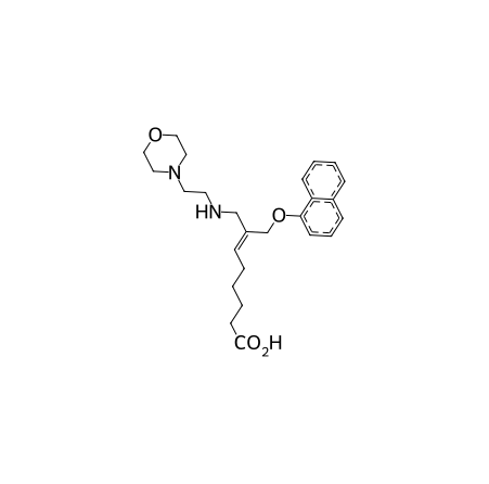 O=C(O)CCCC/C=C(/CNCCN1CCOCC1)COc1cccc2ccccc12